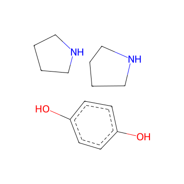 C1CCNC1.C1CCNC1.Oc1ccc(O)cc1